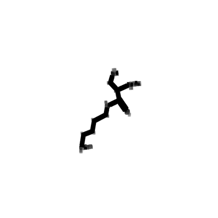 CCCCCCCCCCCCCOC(=O)C(CS)NC(C)=O